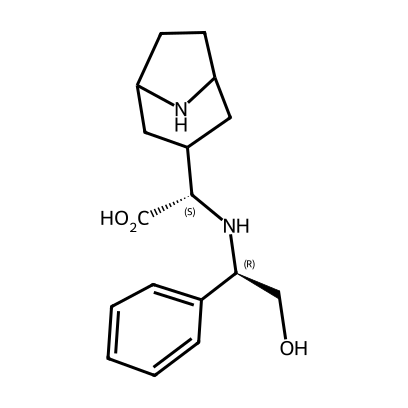 O=C(O)[C@@H](N[C@@H](CO)c1ccccc1)C1CC2CCC(C1)N2